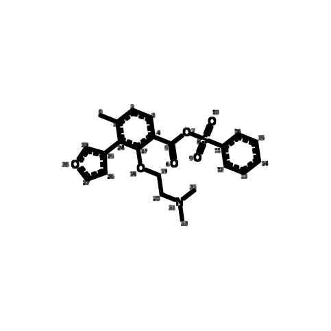 Cc1ccc(C(=O)OS(=O)(=O)c2ccccc2)c(OCCN(C)C)c1-c1ccoc1